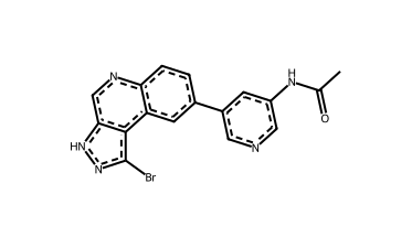 CC(=O)Nc1cncc(-c2ccc3ncc4[nH]nc(Br)c4c3c2)c1